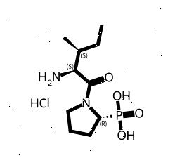 CC[C@H](C)[C@H](N)C(=O)N1CCC[C@H]1P(=O)(O)O.Cl